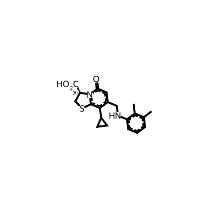 Cc1cccc(NCc2cc(=O)n3c(c2C2CC2)SC[C@H]3C(=O)O)c1C